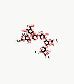 COC1COC(OC2COC(OC3COC(OC4COC(OC5COC(C)C(OC(C)=O)C5O)C(O)C4OC(C)=O)C(O)C3O)C(OC3OC(C(=O)O)C(CO)C(O)C3O)C2O)C(O)C1OC(C)=O